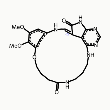 COc1cc2cc(c1OC)OCCCC(=O)NCCCNc1ncnc3c1/C(=C/N2)C(=O)N3